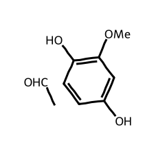 CC=O.COc1cc(O)ccc1O